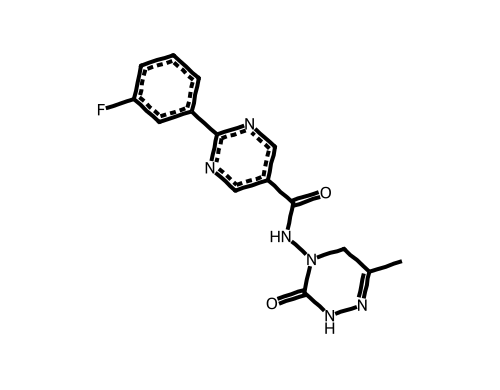 CC1=NNC(=O)N(NC(=O)c2cnc(-c3cccc(F)c3)nc2)C1